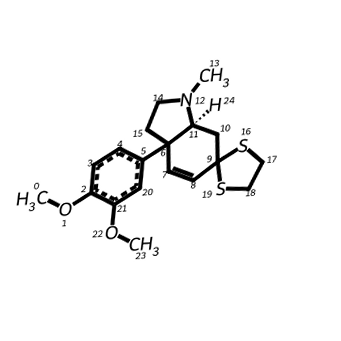 COc1ccc(C23C=CC4(C[C@@H]2N(C)CC3)SCCS4)cc1OC